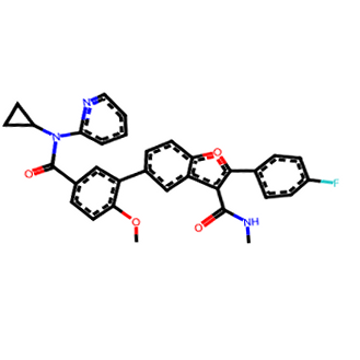 CNC(=O)c1c(-c2ccc(F)cc2)oc2ccc(-c3cc(C(=O)N(c4ccccn4)C4CC4)ccc3OC)cc12